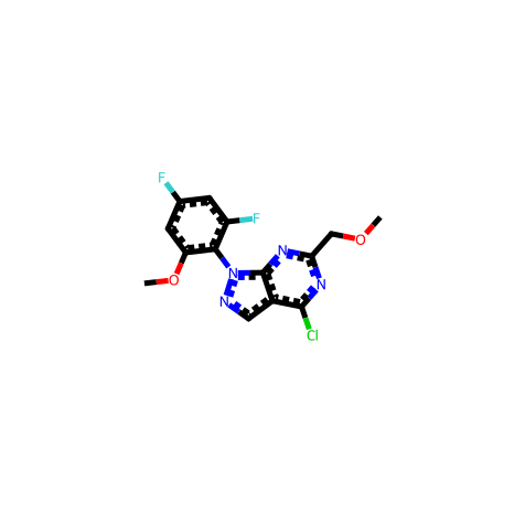 COCc1nc(Cl)c2cnn(-c3c(F)cc(F)cc3OC)c2n1